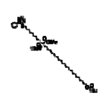 COC(=O)[C@H](CCCCCCCCCCCCCCCCCCCCCCCCOC(=O)C(C)(C)C)[C@@H](CCCCCCCCCSc1nnnn1-c1ccccc1)O[Si](C)(C)C(C)(C)C